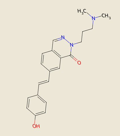 CN(C)CCCn1ncc2ccc(C=Cc3ccc(O)cc3)cc2c1=O